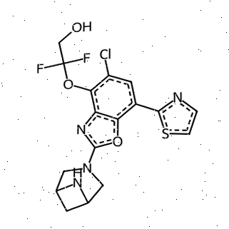 OCC(F)(F)Oc1c(Cl)cc(-c2nccs2)c2oc(N3CC4CC(C3)N4)nc12